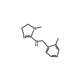 Cc1ccccc1CNC1=NCCN1C